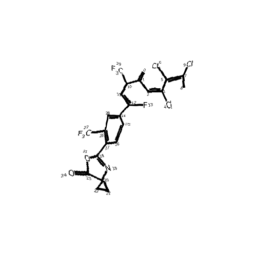 C=C(/C=C(Cl)\C(Cl)=C(/C)Cl)C(/C=C(\F)c1ccc(C2=NC3(CC3)C(=O)O2)c(C(F)(F)F)c1)C(F)(F)F